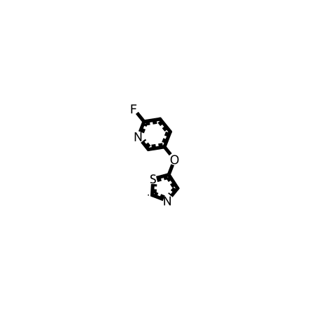 Fc1ccc(Oc2cn[c]s2)cn1